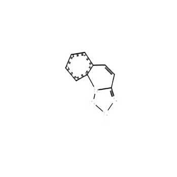 C1=Cc2ccccc2N2NNN=C12